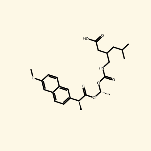 COc1ccc2cc([C@H](C)C(=O)O[C@@H](C)OC(=O)NCC(CC(=O)O)CC(C)C)ccc2c1